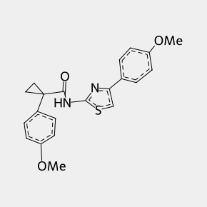 COc1ccc(-c2csc(NC(=O)C3(c4ccc(OC)cc4)CC3)n2)cc1